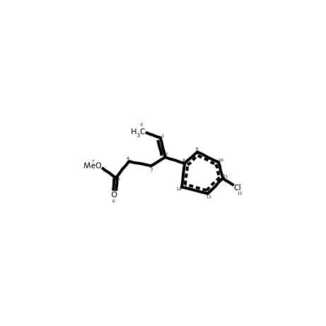 CC=C(CCC(=O)OC)c1ccc(Cl)cc1